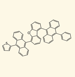 c1ccc(-c2c3ccccc3c(-c3cccc4oc5c(-c6c7ccccc7c(-c7cccs7)c7ccccc67)cccc5c34)c3ccccc23)cc1